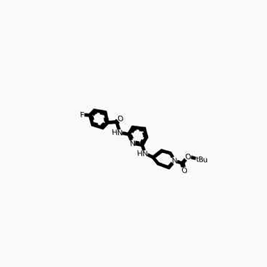 CC(C)(C)OC(=O)N1CCC(Nc2cccc(NC(=O)c3ccc(F)cc3)n2)CC1